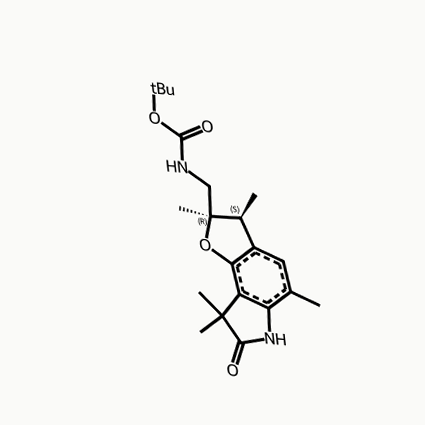 Cc1cc2c(c3c1NC(=O)C3(C)C)O[C@@](C)(CNC(=O)OC(C)(C)C)[C@H]2C